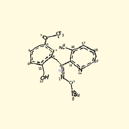 CC(C)(C)O/N=C(/c1cc(OC(F)(F)F)ccc1O)c1ncccc1C#N